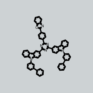 c1ccc(-c2cccc(-n3c4ccccc4c4cc(-c5nc(-c6ccc(-c7nc8ccccc8o7)cc6)nc(-c6ccc7c(c6)c6ccccc6n7-c6cccc(-c7ccccc7)c6)n5)ccc43)c2)cc1